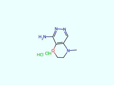 CN1CCOc2c1cnnc2N.Cl.Cl